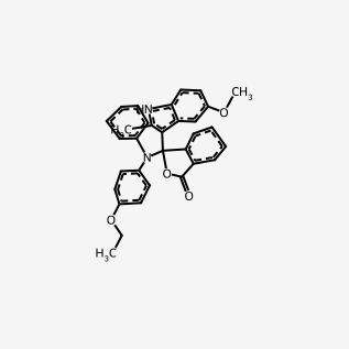 CCOc1ccc(N(c2ccccc2)C2(c3c(C)[nH]c4ccc(OC)cc34)OC(=O)c3ccccc32)cc1